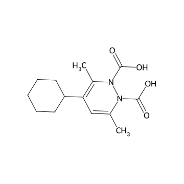 CC1=CC(C2CCCCC2)=C(C)N(C(=O)O)N1C(=O)O